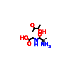 CC(=O)C(C)O.C[C@H](N)C(=O)NCC(=O)O